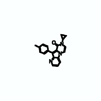 Cc1ccc(-c2c3ncccc3n3ccn(C4CC4)c(=O)c23)cc1